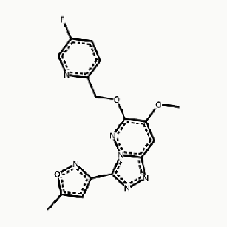 COc1cc2nnc(-c3cc(C)on3)n2nc1OCc1ccc(F)cn1